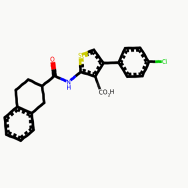 O=C(O)c1c(-c2ccc(Cl)cc2)csc1NC(=O)C1CCc2ccccc2C1